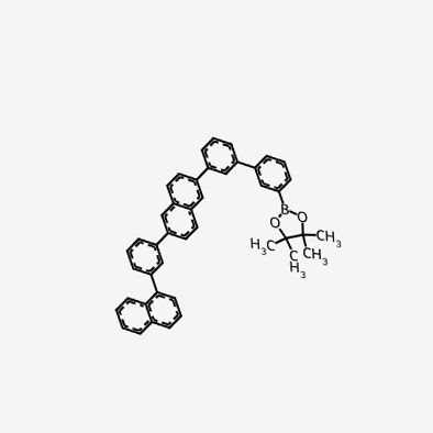 CC1(C)OB(c2cccc(-c3cccc(-c4ccc5cc(-c6cccc(-c7cccc8ccccc78)c6)ccc5c4)c3)c2)OC1(C)C